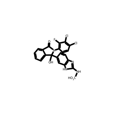 O=C(O)Nc1nc2ccc(C3(O)c4ccccc4C(=O)N3c3ccc(Cl)c(Cl)c3F)cc2[nH]1